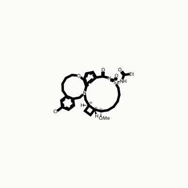 CCC(=O)N[S@@]1(=O)=NC(=O)c2ccc3c(c2)N(Cc2ccc(Cl)cc2CCCCO3)C[C@@H]2CC[C@H]2[C@@H](OC)CCCCC1